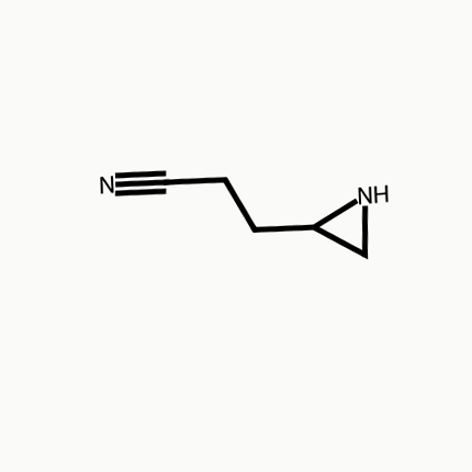 N#CCCC1CN1